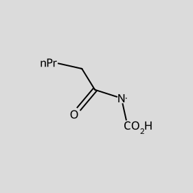 CCCCC(=O)[N]C(=O)O